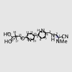 CN/C(C#N)=C\NCc1ccc(-c2ccc(OCC(C)(C)C(O)O)nc2)cn1